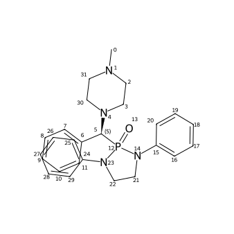 CN1CCN([C@H](c2ccccc2)P2(=O)N(c3ccccc3)CCN2c2ccccc2)CC1